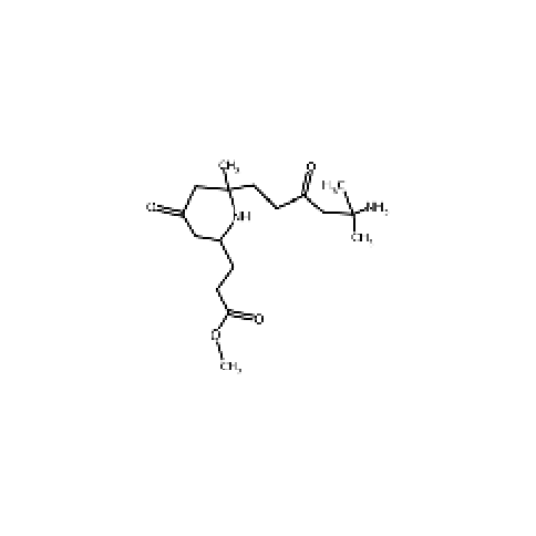 COC(=O)CCC1CC(=O)CC(C)(CCC(=O)CC(C)(C)N)N1